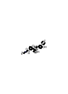 CN(C)C/C=C/C(=O)Nc1ccc(Cl)c(-c2nc(Nc3ccc(O)c(N4CCN(I)CC4)c3)nc3[nH]ncc23)c1